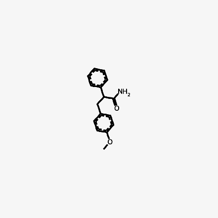 COc1ccc(CC(C(N)=O)c2ccccc2)cc1